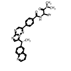 CC(C)C(NC(=O)c1ccc(-c2cnc3ncc([C@H](C)c4ccc5ncccc5c4)n3n2)cc1)C(=O)N(C)C